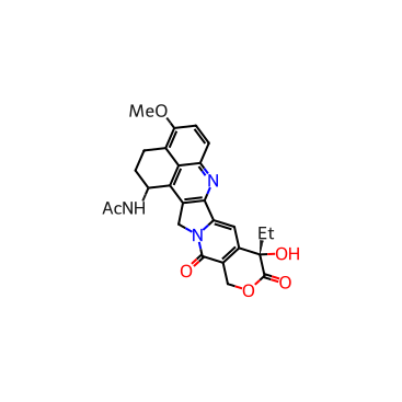 CC[C@@]1(O)C(=O)OCc2c1cc1n(c2=O)Cc2c-1nc1ccc(OC)c3c1c2C(NC(C)=O)CC3